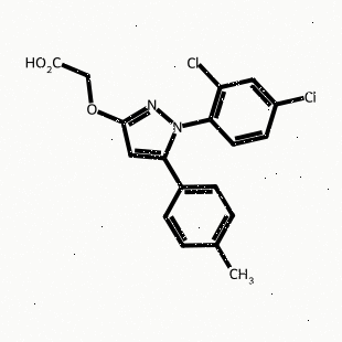 Cc1ccc(-c2cc(OCC(=O)O)nn2-c2ccc(Cl)cc2Cl)cc1